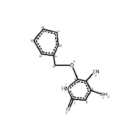 N#Cc1c(N)cc(=O)[nH]c1OCc1ccccc1